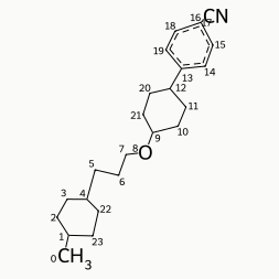 CC1CCC(CCCOC2CCC(c3ccc(C#N)cc3)CC2)CC1